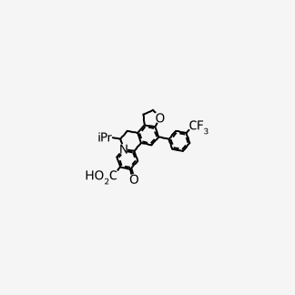 CC(C)C1Cc2c(cc(-c3cccc(C(F)(F)F)c3)c3c2CCO3)-c2cc(=O)c(C(=O)O)cn21